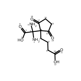 NC(N)(C(=O)O)C1(CCCC(=O)O)C(=O)CCC1=O